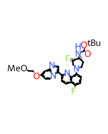 COCCOc1ccn2c(-c3ccc4c(F)ccc(N5CC[C@@H](NC(=O)OC(C)(C)C)[C@@H](F)C5)c4n3)cnc2c1